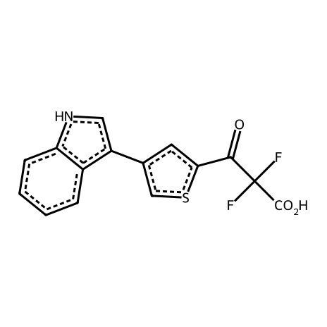 O=C(O)C(F)(F)C(=O)c1cc(-c2c[nH]c3ccccc23)cs1